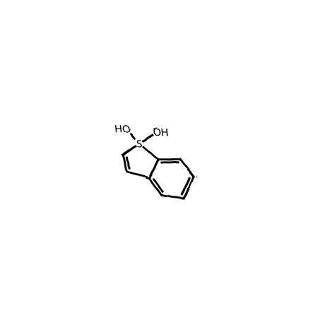 OS1(O)C=Cc2cc[c]cc21